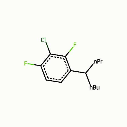 CCCCC(CCC)c1ccc(F)c(Cl)c1F